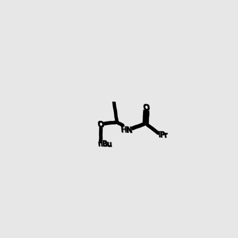 CCCCOC(C)NC(=O)C(C)C